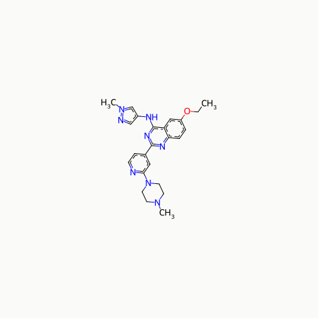 CCOc1ccc2nc(-c3ccnc(N4CCN(C)CC4)c3)nc(Nc3cnn(C)c3)c2c1